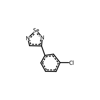 Clc1cccc(-c2cn[se]n2)c1